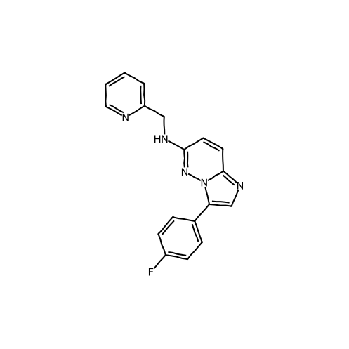 Fc1ccc(-c2cnc3ccc(NCc4ccccn4)nn23)cc1